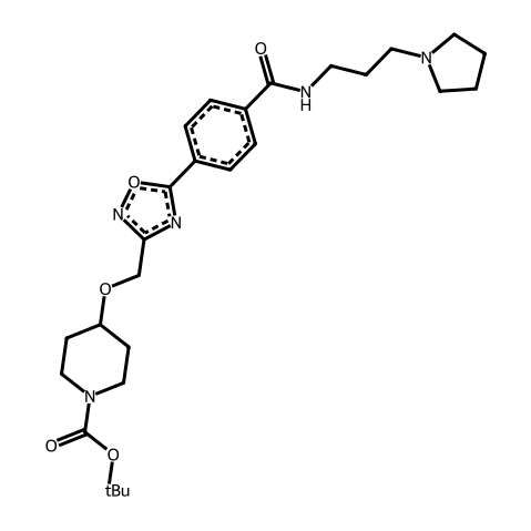 CC(C)(C)OC(=O)N1CCC(OCc2noc(-c3ccc(C(=O)NCCCN4CCCC4)cc3)n2)CC1